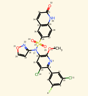 COc1nc(-c2cc(F)cc(Cl)c2)c(Cl)cc1N(c1ccon1)S(=O)(=O)c1ccc2[nH]c(=O)ccc2c1